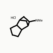 CNC1CC2CC1C1CCCC21.Cl